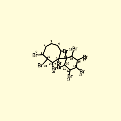 BrC1CCCCC(Br)(C2(Br)C(Br)C(Br)C(Br)C(Br)C2Br)C(Br)C1Br